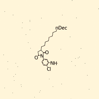 CCCCCCCCCCCCCCCCCCC1CC(=O)N(c2ccc(Cl)c([NH])c2)C1=O